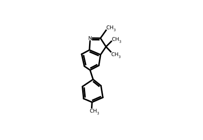 CC1=Nc2ccc(-c3ccc(C)cc3)cc2C1(C)C